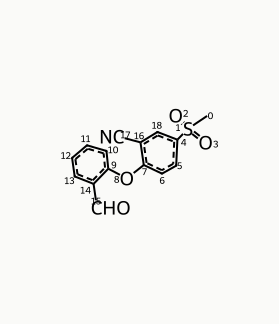 CS(=O)(=O)c1ccc(Oc2ccccc2C=O)c(C#N)c1